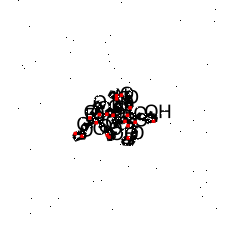 CCC(CC(C)(CC(C)(CC(C)(C)C(=O)OC1(C)C2CC3CC(C2)CC1C3)C(=O)OC1CCOC1=O)C(=O)OC12CC3CC(CC(O)(C3)C1)C2)c1ccc(S(=O)(=O)ON=C2C(=NOS(=O)(=O)c3ccc(C(CC)CC(C)(CC(C)(CC(C)(C)C(=O)OC4(C)C5CC6CC(C5)CC4C6)C(=O)OC4CCOC4=O)C(=O)OC45CC6CC(CC(O)(C6)C4)C5)cc3)C3CCC2C3(C)C)cc1